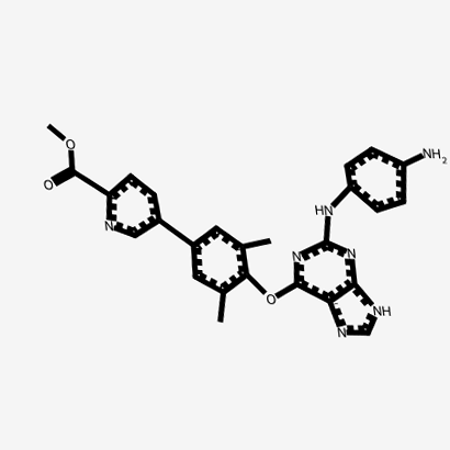 COC(=O)c1ccc(-c2cc(C)c(Oc3nc(Nc4ccc(N)cc4)nc4[nH]cnc34)c(C)c2)cn1